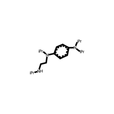 CC(C)NCCN(c1ccc(N(C(C)C)C(C)C)cc1)C(C)C